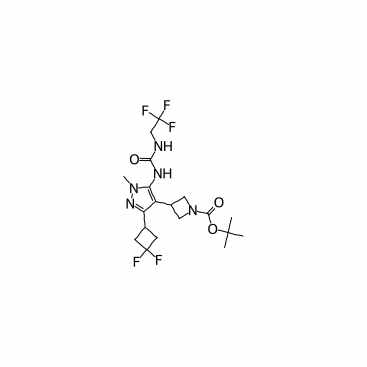 Cn1nc(C2CC(F)(F)C2)c(C2CN(C(=O)OC(C)(C)C)C2)c1NC(=O)NCC(F)(F)F